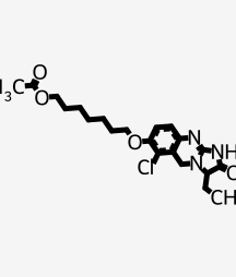 CCC1C(=O)NC2=Nc3ccc(OCCCCCCCOC(C)=O)c(Cl)c3CN21